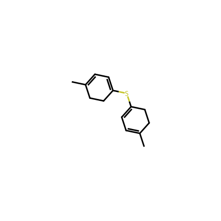 CC1=CC=C(SC2=CC=C(C)CC2)CC1